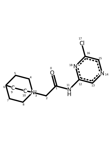 O=C(C[N+]12CCC(CC1)CC2)Nc1cncc(Cl)n1